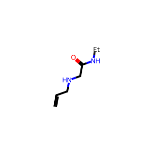 C=CCNCC(=O)NCC